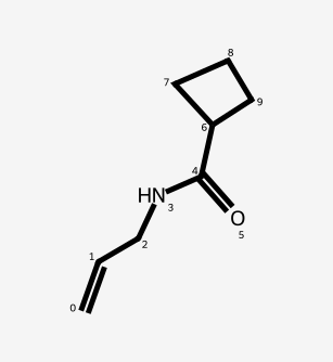 C=CCNC(=O)C1CCC1